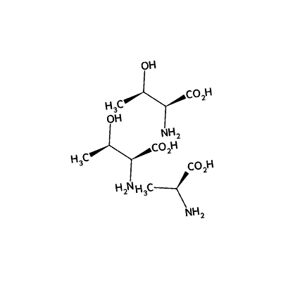 C[C@@H](O)[C@H](N)C(=O)O.C[C@@H](O)[C@H](N)C(=O)O.C[C@H](N)C(=O)O